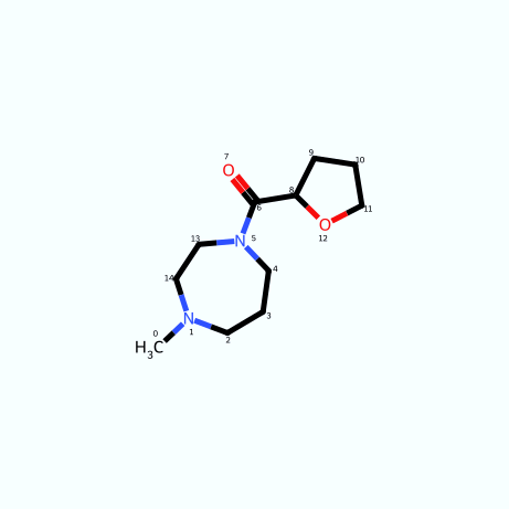 CN1CCCN(C(=O)C2CCCO2)CC1